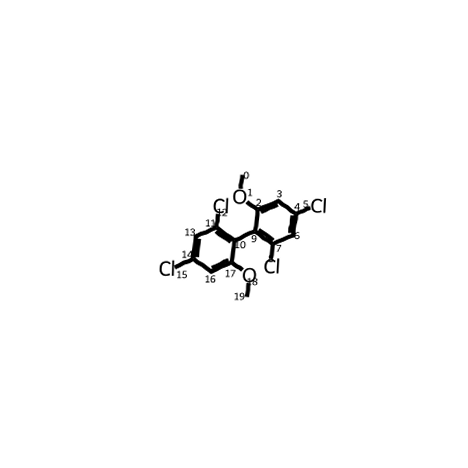 COc1cc(Cl)cc(Cl)c1-c1c(Cl)cc(Cl)cc1OC